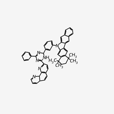 CC1(C)CCC(C)(C)c2cc3c(cc21)c1cc2ccccc2cc1n3-c1cccc(C2N=C(c3ccccc3)N=C(c3ccc4c(n3)C3N=CC=CC3C=C4)N2)c1